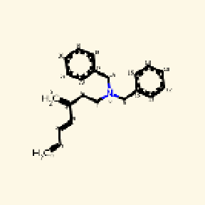 C=CC=CC(=C)CCN(Cc1ccccc1)Cc1ccccc1